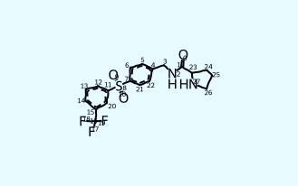 O=C(NCc1ccc(S(=O)(=O)c2cccc(C(F)(F)F)c2)cc1)C1CCCN1